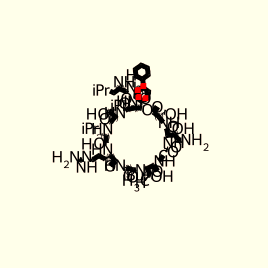 CC[C@H](C)[C@@H]1NC(=O)[C@@H](CCCNC(=N)N)NC(=O)[C@H](CC(C)C)NC(=O)[C@H]([C@H](O)C(C)C)NC(=O)[C@@H](NC(=O)[C@H](CC2CCCCC2)NC(=O)[C@H](N)CC(C)C)[C@@H](c2ccccc2)OC(=O)[C@H](CO)NC(=O)[C@H]([C@H](O)C(N)=O)NC(=O)CNC(=O)[C@H]([C@H](C)O)NC1=O